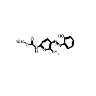 CCCCCCCCCCOC(=O)Nc1ccc(/N=N/c2ccccc2O)c(N)n1